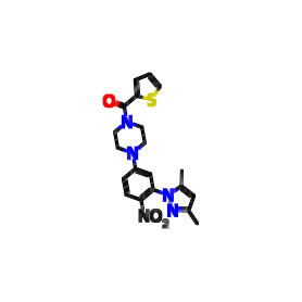 Cc1cc(C)n(-c2cc(N3CCN(C(=O)c4cccs4)CC3)ccc2[N+](=O)[O-])n1